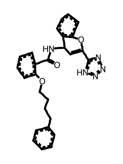 O=C(NC1C=C(c2nnn[nH]2)Oc2ccccc21)c1ccccc1OCCCCc1ccccc1